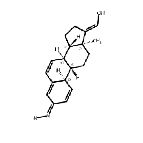 C[C@]12CC[C@H]3[C@@H](C=CC4=CC(=N[N])C=C[C@@H]43)[C@@H]1CCC2=CO